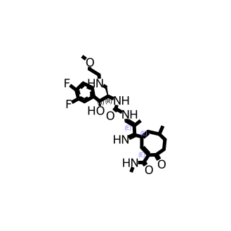 CNC(=O)/C1=C/C(C(=N)/C(C)=C/NC(=O)N[C@H](CNCCOC)[C@@H](O)c2ccc(F)c(F)c2)=C\C(C)CCC1=O